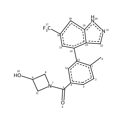 Cc1ccc(C(=O)N2CC(O)C2)cc1-c1cc(C(F)(F)F)cc2[nH]ncc12